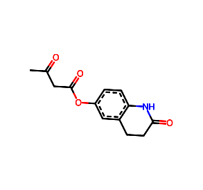 CC(=O)CC(=O)Oc1ccc2c(c1)CCC(=O)N2